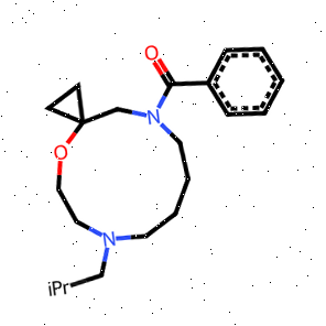 CC(C)CN1CCCCN(C(=O)c2ccccc2)CC2(CC2)OCC1